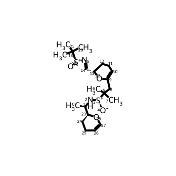 C[C@@H](N[S@+]([O-])C(C)(C)CC1=CCC[C@@H](/C=N/[S@+]([O-])C(C)(C)C)O1)[C@@H]1CCC=CO1